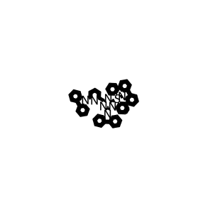 c1ccc(S(c2ccccc2)(c2nc(-c3cccc(-n4c5ccccc5c5ccccc54)n3)nc(-n3c4ccccc4c4ccccc43)n2)n2c3ccccc3c3ccccc32)cc#1